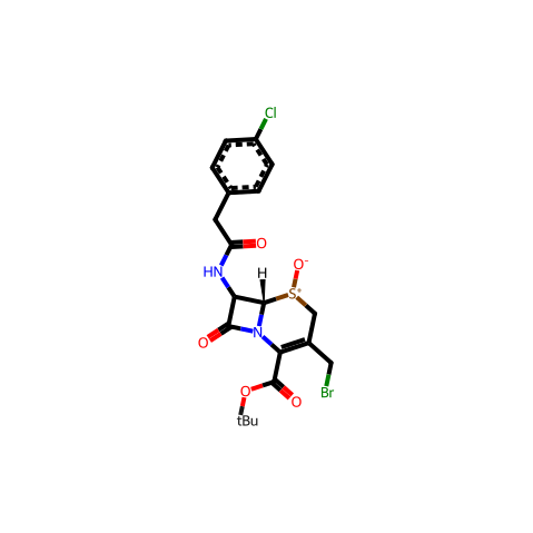 CC(C)(C)OC(=O)C1=C(CBr)C[S+]([O-])[C@H]2C(NC(=O)Cc3ccc(Cl)cc3)C(=O)N12